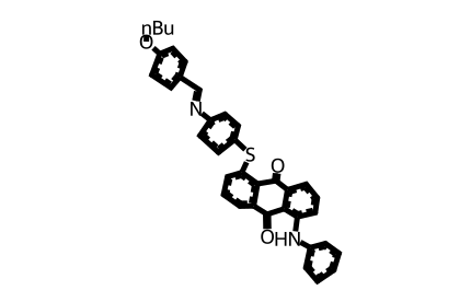 CCCCOc1ccc(C=Nc2ccc(Sc3cccc4c3C(=O)c3cccc(Nc5ccccc5)c3C4=O)cc2)cc1